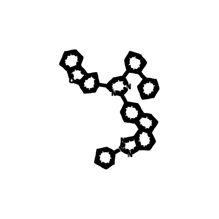 c1ccc(-c2ccccc2-c2cc(-c3ccc4oc5ccccc5c4c3)nc(-c3ccc4c(ccc5ccc6nn(-c7ccccc7)nc6c54)c3)n2)cc1